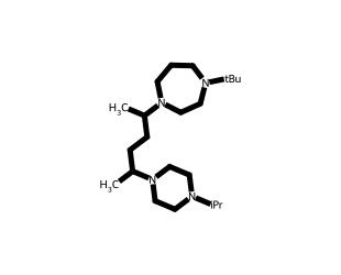 CC(C)N1CCN(C(C)CCC(C)N2CCCN(C(C)(C)C)CC2)CC1